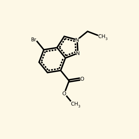 CCn1cc2c(Br)ccc(C(=O)OC)c2n1